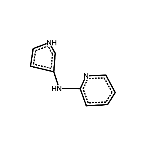 c1ccc(Nc2cc[nH]c2)nc1